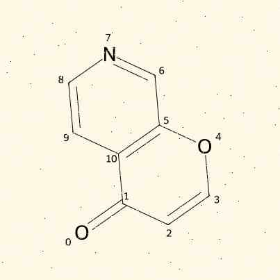 O=c1ccoc2cnccc12